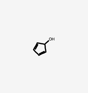 OC1C=CC=C1